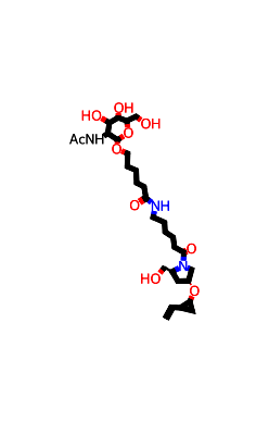 C=CC1CC1O[C@@H]1C[C@@H](CO)N(C(=O)CCCCCNC(=O)CCCCCOC2OC(CO)C(O)C(O)C2NC(C)=O)C1